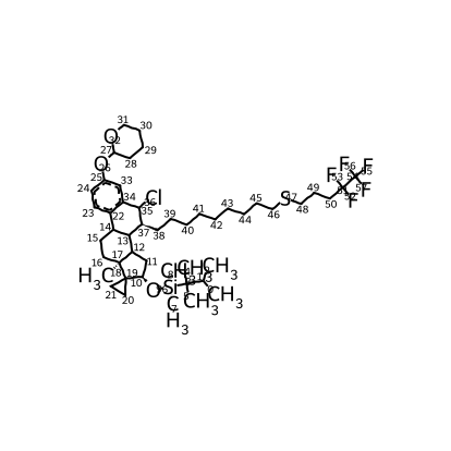 CC(C)C(C)(C)[Si](C)(C)O[C@@H]1CC2C3C(CC[C@]2(C)C12CC2)c1ccc(OC2CCCCO2)cc1C(Cl)[C@H]3CCCCCCCCCSCCCC(F)(F)C(F)(F)F